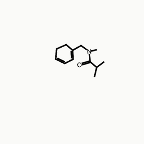 CC(C)C(=O)N(C)CC1=CC=CCC1